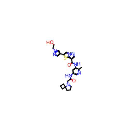 Cc1ncc(NC(=O)CN2CCCC23CCC3)cc1NC(=O)c1cnn2cc(-c3cnn(CCO)c3)sc12